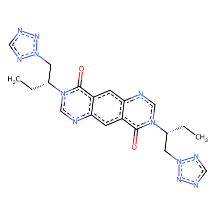 CC[C@H](Cn1ncnn1)n1cnc2cc3c(=O)n([C@H](CC)Cn4ncnn4)cnc3cc2c1=O